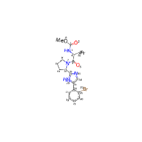 COC(=O)NC(C(=O)N1CCCC1c1ncc(-c2ccccc2Br)[nH]1)C(C)C